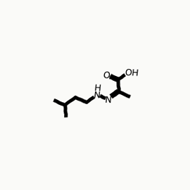 C/C(=N/NCCC(C)C)C(=O)O